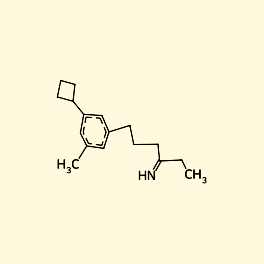 CCC(=N)CCCc1cc(C)cc(C2CCC2)c1